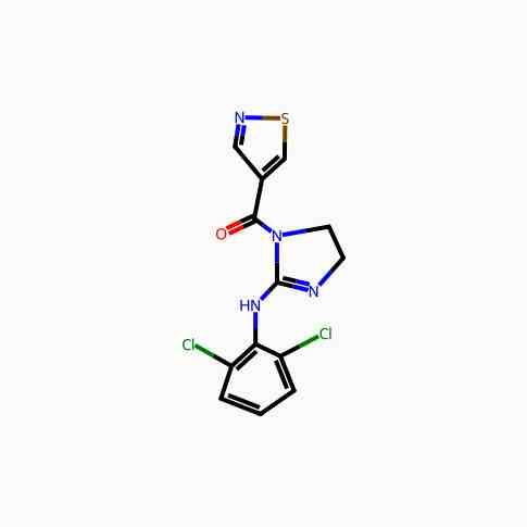 O=C(c1cnsc1)N1CCN=C1Nc1c(Cl)cccc1Cl